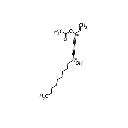 C=C[C@@H](C#CC#C[C@H](O)CCCCCCCCC)OC(C)=O